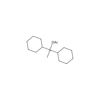 [CH2]C(=O)O[Si](C)(C1CCCCC1)C1CCCCC1